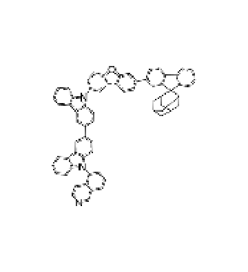 c1ccc2c(c1)-c1ccc(-c3ccc4c(c3)oc3ccc(-n5c6ccccc6c6cc(-c7ccc8c(c7)c7ccccc7n8-c7cccc8cnccc78)ccc65)cc34)cc1C21C2CC3CC(C2)CC1C3